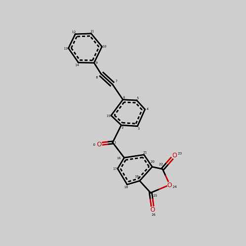 O=C(c1cccc(C#Cc2ccccc2)c1)c1ccc2c(c1)C(=O)OC2=O